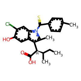 CCC(C)[C@@H](C(=O)O)c1c(C)n(C(=S)c2ccc(C)cc2)c2cc(Cl)c(O)cc12